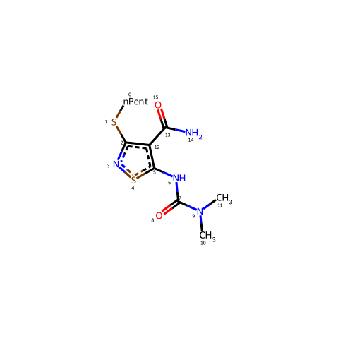 CCCCCSc1nsc(NC(=O)N(C)C)c1C(N)=O